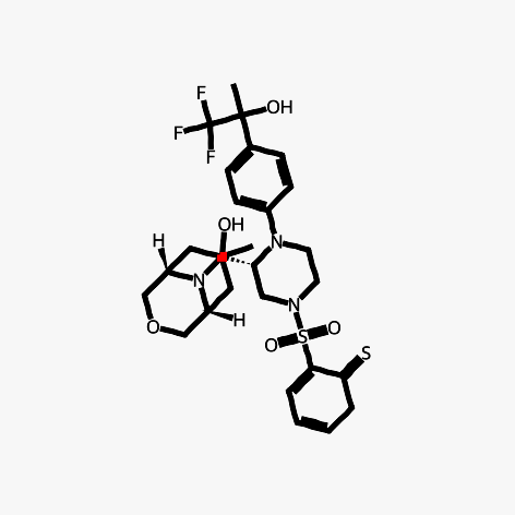 CC1(O)C[C@H]2COC[C@@H](C1)N2C[C@H]1CN(S(=O)(=O)C2=CC=CCC2=S)CCN1c1ccc(C(C)(O)C(F)(F)F)cc1